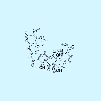 COC1C(=NO)C(OC)C(NC2=CC(=O)c3c(cc4c(c3O)C(=O)C3(OC)C(O)Cc5cc(C)c(C(=O)O)c(O)c5C3(O)C4=O)C2=O)OC1C